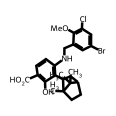 COc1c(Cl)cc(Br)cc1CNc1ccc(C(=O)O)c(O)c1C1CC2CCC1(C)C2(C)C